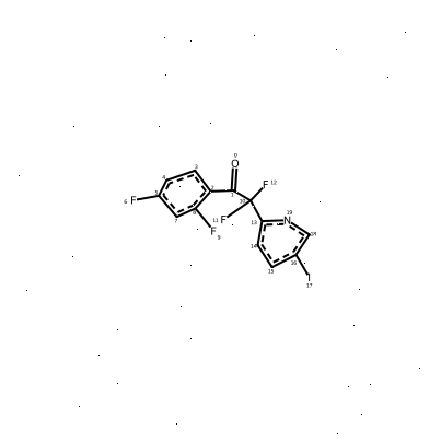 O=C(c1ccc(F)cc1F)C(F)(F)c1ccc(I)cn1